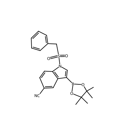 CC1(C)OB(c2cn(S(=O)(=O)Cc3ccccc3)c3ccc(C#N)cc23)OC1(C)C